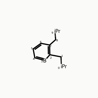 CC(C)Cc1bcccc1CC(C)C